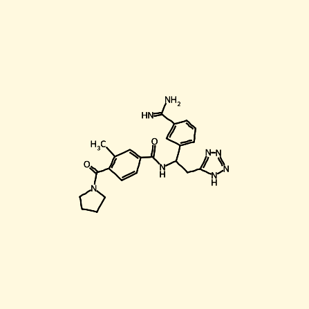 Cc1cc(C(=O)NC(Cc2nnn[nH]2)c2cccc(C(=N)N)c2)ccc1C(=O)N1CCCC1